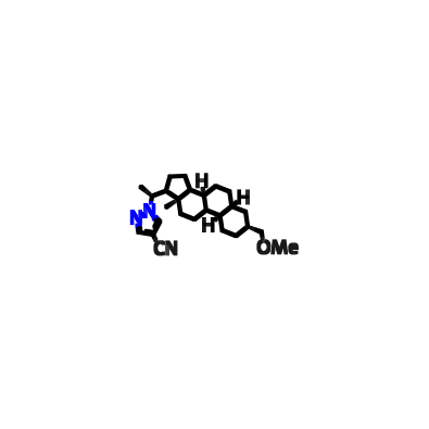 COC[C@H]1CC[C@@H]2C3CC[C@@]4(C)C(CCC4[C@H](C)n4cc(C#N)cn4)[C@@H]3CC[C@@H]2C1